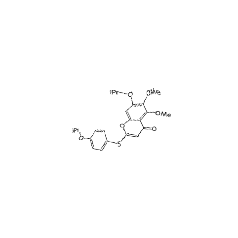 COc1c(OC(C)C)cc2oc(Sc3ccc(OC(C)C)cc3)cc(=O)c2c1OC